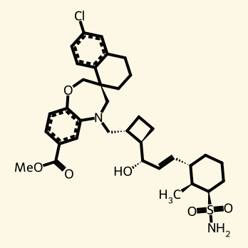 COC(=O)c1ccc2c(c1)N(C[C@@H]1CC[C@H]1[C@@H](O)/C=C/[C@@H]1CCC[C@@H](S(N)(=O)=O)[C@H]1C)C[C@@]1(CCCc3cc(Cl)ccc31)CO2